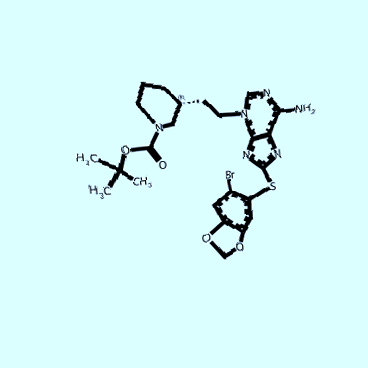 CC(C)(C)OC(=O)N1CCC[C@H](CCn2cnc(N)c3nc(Sc4cc5c(cc4Br)OCO5)nc2-3)C1